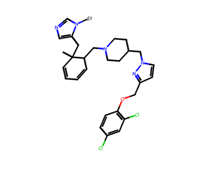 CCn1cncc1CC1(C)C=CC=CC1CN1CCC(Cn2ccc(COc3ccc(Cl)cc3Cl)n2)CC1